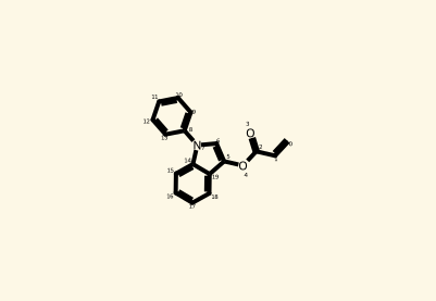 C=CC(=O)Oc1cn(-c2ccccc2)c2ccccc12